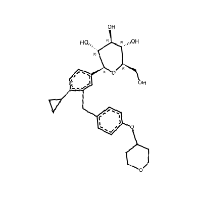 OC[C@H]1O[C@@H](c2ccc(C3CC3)c(Cc3ccc(OC4CCOCC4)cc3)c2)[C@H](O)[C@@H](O)[C@@H]1O